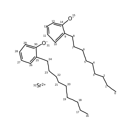 CCCCCCCCCc1ccccc1[O-].CCCCCCCCCc1ccccc1[O-].[Sr+2]